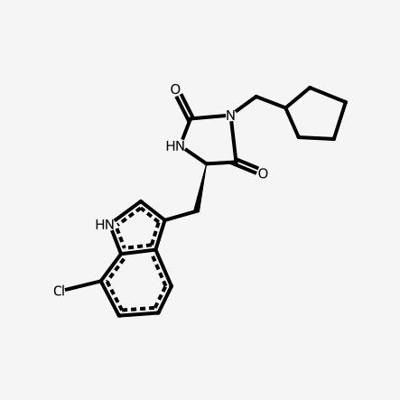 O=C1N[C@H](Cc2c[nH]c3c(Cl)cccc23)C(=O)N1CC1CCCC1